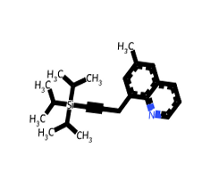 Cc1cc(CC#C[Si](C(C)C)(C(C)C)C(C)C)c2ncccc2c1